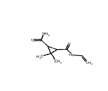 C=CNC(=O)C1C(C(N)=O)C1(C)C